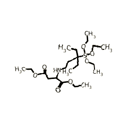 CCOC(=O)CC(NCCC(CC)(CC)[Si](OCC)(OCC)OCC)C(=O)OCC